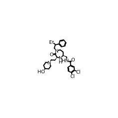 CCC(CN1CC[C@@H](CNC(=O)c2ccc(Cl)c(Cl)c2)N[C@@H](CCN2CCC(O)CC2)C1=O)c1ccccc1